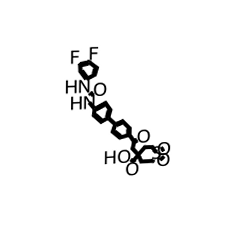 O=C(Nc1ccc(-c2ccc(C(=O)CC3(C(=O)O)CCS(=O)(=O)CC3)cc2)cc1)Nc1ccc(F)c(F)c1